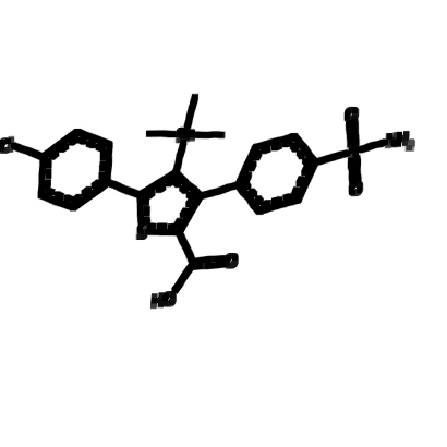 [CH3][Sn]([CH3])([CH3])[c]1c(-c2ccc(Cl)cc2)sc(C(=O)O)c1-c1ccc(S(N)(=O)=O)cc1